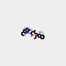 C=C(CCC1(CCC)Cc2ccccc2[C@H]1N)c1nc(N)c(C(=N)/C2=C\c3cccnc3CCCC2)nc1[C@H](C)O